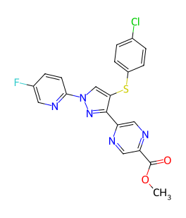 COC(=O)c1cnc(-c2nn(-c3ccc(F)cn3)cc2Sc2ccc(Cl)cc2)cn1